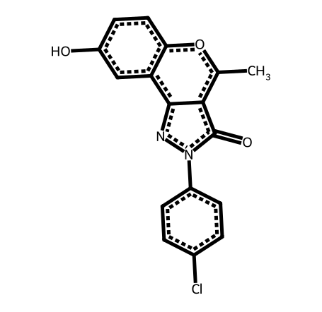 Cc1oc2ccc(O)cc2c2nn(-c3ccc(Cl)cc3)c(=O)c1-2